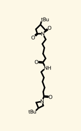 CC(C)(C)C1CN(C(=O)CCCCCNC(=O)CCCCCN2C(=O)CC(C(C)(C)C)C2=O)C1